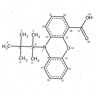 CC(C)(C)[Si](C)(C)N1c2ccccc2Oc2c(C(=O)O)cccc21